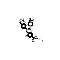 CCc1ccc(N(Cc2ccc(C(=O)OC)cc2F)C(=O)N2CCS(=O)(=O)CC2)cc1